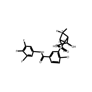 C[C@@H]1C2C(O)[C@H](O)C1[C@@H]2S(=O)(=O)c1cc(C(=O)Nc2cc(F)c(F)c(F)c2)ccc1Cl